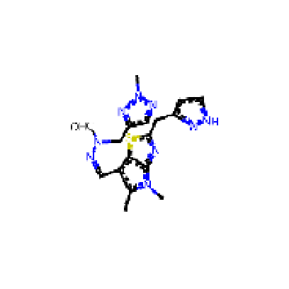 Cc1c(/C=N\N(C=O)Cc2cnn(C)n2)c2sc(Cc3cc[nH]n3)nc2n1C